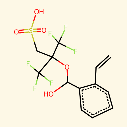 C=Cc1ccccc1C(O)OC(CS(=O)(=O)O)(C(F)(F)F)C(F)(F)F